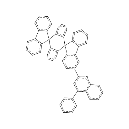 c1ccc(-c2cc(-c3ccc4c(c3)-c3ccccc3C43c4ccccc4C4(c5ccccc5-c5ccccc54)c4ccccc43)nc3ccccc23)cc1